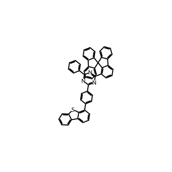 c1ccc(-c2nc(-c3ccc(-c4cccc5c4sc4ccccc45)cc3)nc(-c3cccc4c3C3(c5ccccc5-c5ccccc53)c3ccccc3-4)n2)cc1